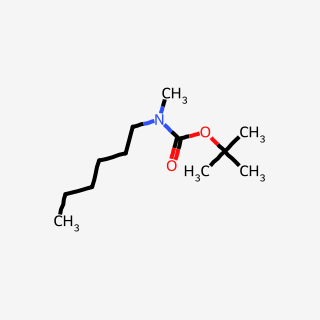 CCCCCCN(C)C(=O)OC(C)(C)C